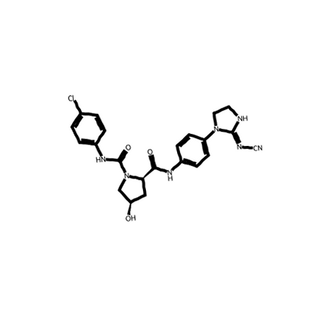 N#CN=C1NCCN1c1ccc(NC(=O)[C@H]2C[C@@H](O)CN2C(=O)Nc2ccc(Cl)cc2)cc1